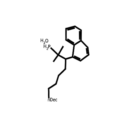 CCCCCCCCCCCCCCC(c1cccc2ccccc12)C(C)(C)P.O